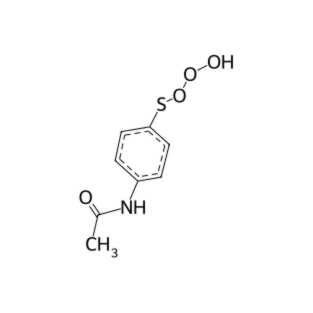 CC(=O)Nc1ccc(SOOO)cc1